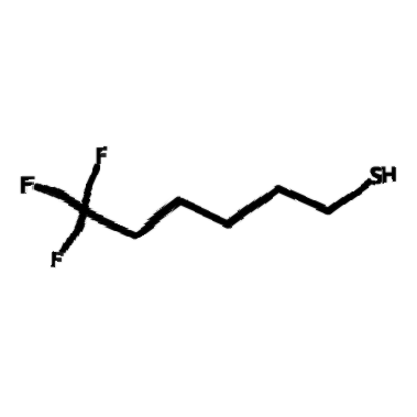 FC(F)(F)CCCCCS